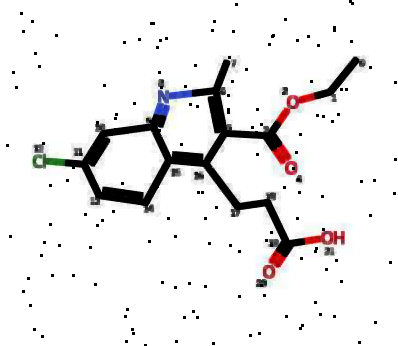 CCOC(=O)c1c(C)nc2cc(Cl)ccc2c1CCC(=O)O